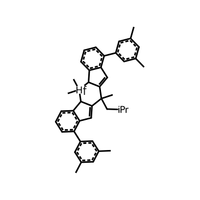 Cc1cc(C)cc(-c2cccc3c2C=C2[CH]3[Hf]([CH3])([CH3])[CH]3C(=Cc4c(-c5cc(C)cc(C)c5)cccc43)C2(C)CC(C)C)c1